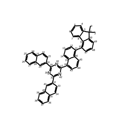 CC1(C)c2ccccc2-c2c(-c3cccc4c(-c5nc(-c6ccc7ccccc7c6)nc(-c6ccc7ccccc7c6)n5)cccc34)cccc21